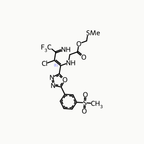 CSCOC(=O)CN/C(=C(/Cl)C(=N)C(F)(F)F)c1nnc(-c2cccc(S(C)(=O)=O)c2)o1